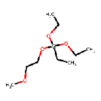 CCO[Si](CC)(OCC)OCCOC